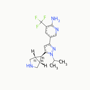 CC(C)n1nc(-c2cnc(N)c(C(F)(F)F)c2)cc1[C@H]1[C@@H]2CNC[C@@H]21